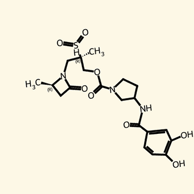 C[C@@H]1CC(=O)N1C[C@](C)(COC(=O)N1CCC(NC(=O)c2ccc(O)c(O)c2)C1)[SH](=O)=O